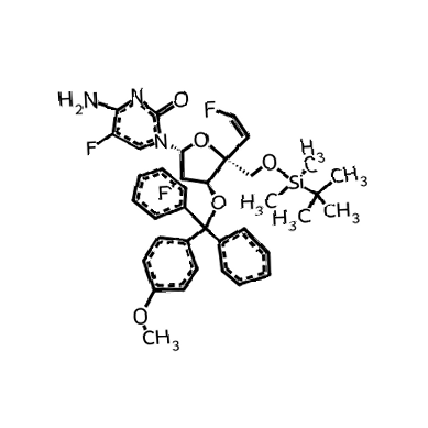 COc1ccc(C(O[C@H]2[C@H](F)[C@H](n3cc(F)c(N)nc3=O)O[C@]2(/C=C\F)CO[Si](C)(C)C(C)(C)C)(c2ccccc2)c2ccccc2)cc1